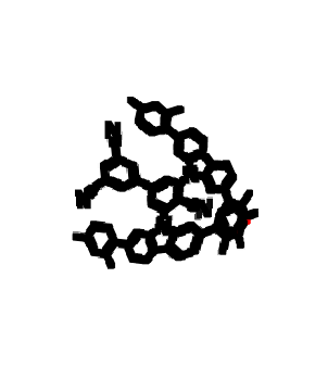 Cc1ccc(-c2ccc3c4ccc(-c5ccc(C)cc5C)cc4n(-c4cc(-c5cc(C#N)cc(C#N)c5)cc(-n5c6cc(-c7ccc(C)cc7C)ccc6c6ccc(-c7ccc(C)cc7C)cc65)c4C#N)c3c2)c(C)c1